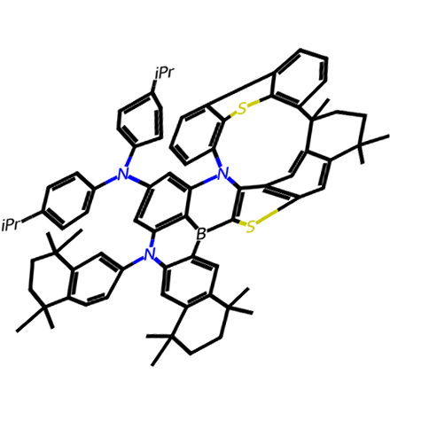 CC(C)c1ccc(N(c2ccc(C(C)C)cc2)c2cc3c4c(c2)N2c5c(sc6cc7c(cc56)C(C)(CCC7(C)C)c5cccc6c5sc5c2cccc56)B4c2cc4c(cc2N3c2ccc3c(c2)C(C)(C)CCC3(C)C)C(C)(C)CCC4(C)C)cc1